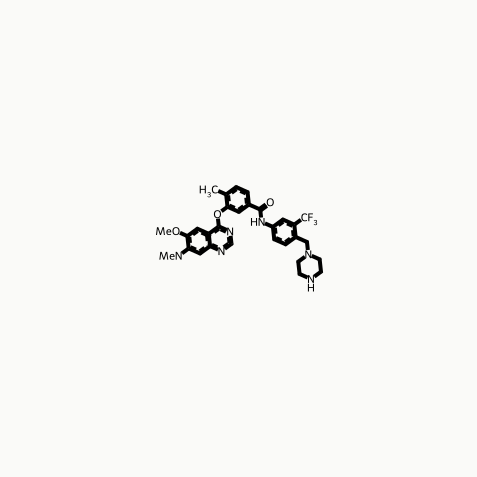 CNc1cc2ncnc(Oc3cc(C(=O)Nc4ccc(CN5CCNCC5)c(C(F)(F)F)c4)ccc3C)c2cc1OC